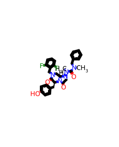 CN(Cc1ccccc1)C(=O)N(C)N1CC(=O)N2[C@@H](Cc3ccc(O)cc3)C(=O)N(Cc3c(F)cccc3F)C[C@@H]21